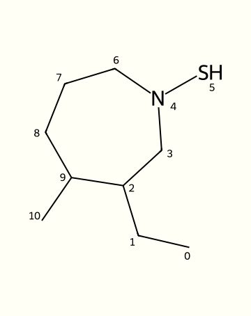 CCC1CN(S)CCCC1C